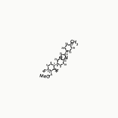 COCc1c(F)ccc(-c2ccc3nc(-c4ccc(C)cc4)cn3c2)c1F